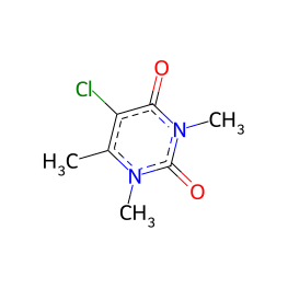 Cc1c(Cl)c(=O)n(C)c(=O)n1C